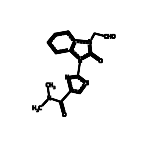 CN(C)C(=O)c1csc(-n2c(=O)n(CC=O)c3ccccc32)n1